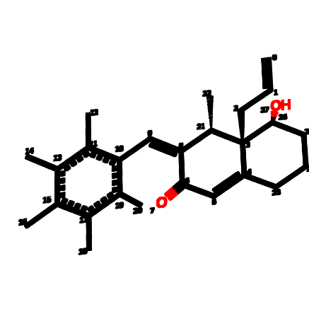 C=CC[C@@]12C(=CC(=O)C(=Cc3c(C)c(C)c(C)c(C)c3C)[C@@H]1C)CCC[C@@H]2O